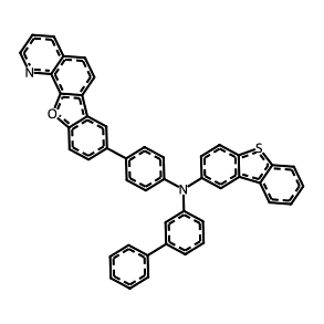 c1ccc(-c2cccc(N(c3ccc(-c4ccc5oc6c(ccc7cccnc76)c5c4)cc3)c3ccc4sc5ccccc5c4c3)c2)cc1